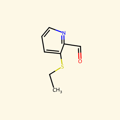 CCSc1cccnc1C=O